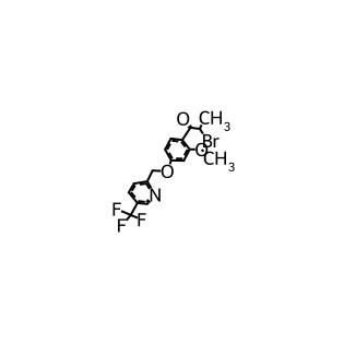 COc1cc(OCc2ccc(C(F)(F)F)cn2)ccc1C(=O)C(C)Br